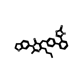 CCCCc1nc(C)n(-c2ccc3c(c2)OCC3)c(=O)c1Cc1ccc(-c2ccccc2-c2noc(=O)[nH]2)cc1